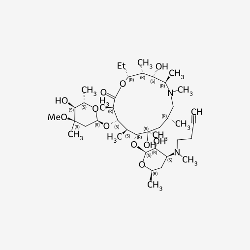 C#CCCN(C)[C@H]1C[C@@H](C)O[C@@H](O[C@@H]2[C@@H](C)[C@H](O[C@H]3C[C@@](C)(OC)[C@@H](O)[C@H](C)O3)[C@@H](C)C(=O)O[C@H](CC)[C@H](C)[C@H](O)[C@@H](C)N(C)C[C@H](C)C[C@@]2(C)O)[C@@H]1O